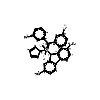 CC(C)(C)c1ccc2c(c1)[CH]([Zr]([Cl])([Cl])(=[C](c1cccc(Br)c1)c1cccc(Br)c1)[CH]1C=CC=C1)c1cc(C(C)(C)C)ccc1-2